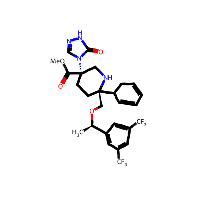 COC(=O)[C@]1(n2cn[nH]c2=O)CC[C@@](CO[C@H](C)c2cc(C(F)(F)F)cc(C(F)(F)F)c2)(C2C=CC=CC2)NC1